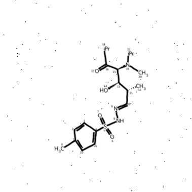 Cc1ccc(S(=O)(=O)NN=C[C@@H](C)[C@@H](O)[C@@H](C(=O)C(C)C)N(C)C(C)C)cc1